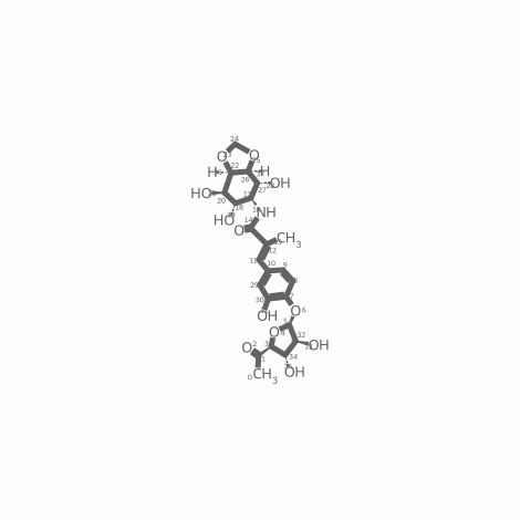 CC(=O)[C@H]1O[C@@H](Oc2ccc(/C=C(\C)C(=O)N[C@@H]3[C@H](O)[C@@H](O)[C@H]4OCO[C@H]4[C@@H]3O)cc2O)[C@@H](O)[C@@H]1O